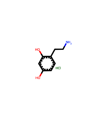 Cl.NCCc1ccc(O)cc1O